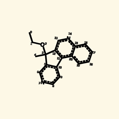 CCOC1(C)c2cnccc2-c2c1cnc1ccccc21